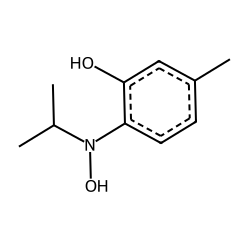 Cc1ccc(N(O)C(C)C)c(O)c1